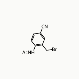 CC(=O)Nc1ccc(C#N)cc1CBr